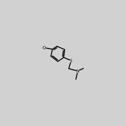 CN(C)CSc1ccc([O])cc1